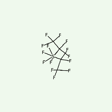 FC(F)(F)C(F)(F)S(F)(F)(F)(F)C(F)(F)C(F)(F)F